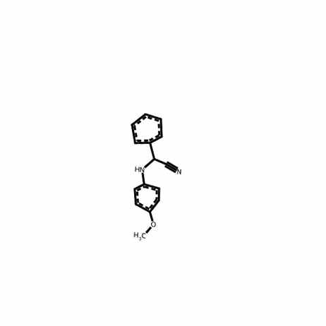 COc1ccc(NC(C#N)c2ccccc2)cc1